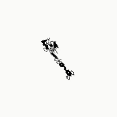 COc1cc(C=Cc2ccc(OC(=O)OCCNC(=O)C(CC(C)C)NC(=O)OC(C)(C)C)cc2)cc(OC)c1